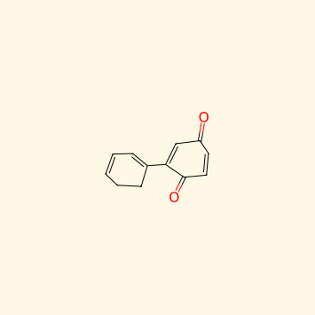 O=C1C=CC(=O)C(C2=CC=CCC2)=C1